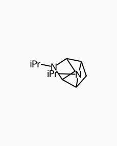 CC(C)N1C2CC1C1CC2N1C(C)C